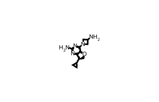 Nc1nc(N2CC(N)C2)c2occ(C3CC3)c2n1